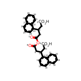 O=C(O)CC(CC(=O)OC(=O)CC(CC(=O)O)c1cccc2ccccc12)c1cccc2ccccc12